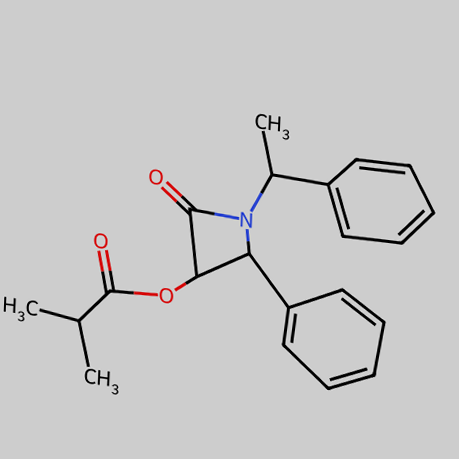 CC(C)C(=O)OC1C(=O)N(C(C)c2ccccc2)C1c1ccccc1